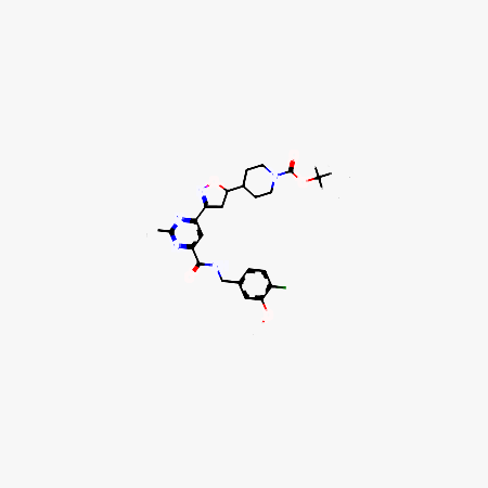 COc1cc(CNC(=O)c2cc(C3=NOC(C4CCN(C(=O)OC(C)(C)C)CC4)C3)nc(C)n2)ccc1F